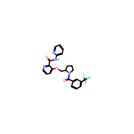 O=C(Nc1ccccn1)c1ncccc1OCC1CCCN1C(=O)c1cccc(C(F)(F)F)c1